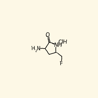 Cl.NC1CC(CF)NC1=O